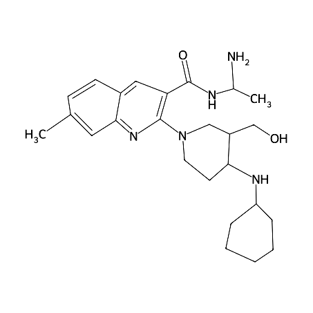 Cc1ccc2cc(C(=O)NC(C)N)c(N3CCC(NC4CCCCC4)C(CO)C3)nc2c1